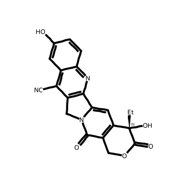 CC[C@@]1(O)C(=O)OCc2c1cc1n(c2=O)Cc2c-1nc1ccc(O)cc1c2C#N